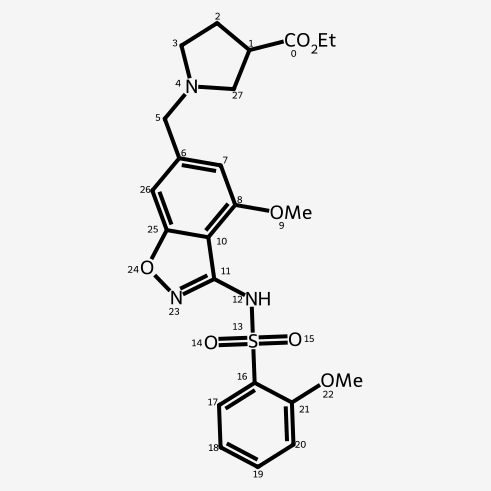 CCOC(=O)C1CCN(Cc2cc(OC)c3c(NS(=O)(=O)c4ccccc4OC)noc3c2)C1